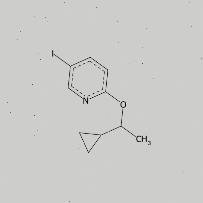 CC(Oc1ccc(I)cn1)C1CC1